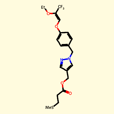 CCO/C(=C\Oc1ccc(Cn2cc(COC(=O)CCSC)cn2)cc1)C(F)(F)F